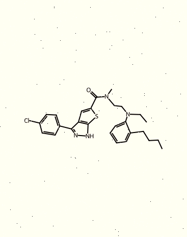 CCCCc1ccccc1N(CC)CCN(C)C(=O)c1cc2c(-c3ccc(Cl)cc3)n[nH]c2s1